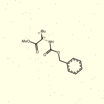 CC[C@H](C)[C@H](NC(=O)OCc1ccccc1)C(=O)OC